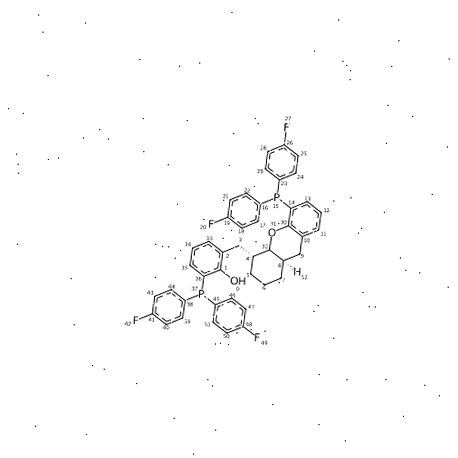 Oc1c(C[C@H]2CCC[C@@H]3Cc4cccc(P(c5ccc(F)cc5)c5ccc(F)cc5)c4OC23)cccc1P(c1ccc(F)cc1)c1ccc(F)cc1